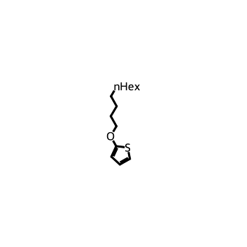 CCCCCCCCCCOc1cccs1